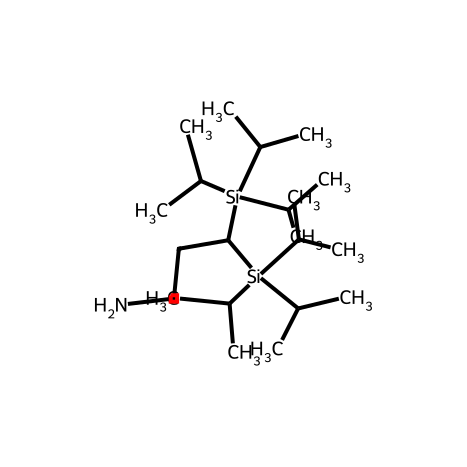 CC(C)[Si](C(C)C)(C(C)C)C(CCN)[Si](C(C)C)(C(C)C)C(C)C